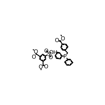 COC(=O)c1cc(C(=O)OC)cc(S(=O)(=O)O)c1.COC(=O)c1ccc(CP(c2ccccc2)c2ccccc2)cc1